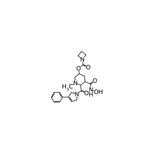 CN1CC(OC(=O)N2CCC2)CC(C(=O)NO)C1C(=O)N1CC=C(c2ccccc2)C1